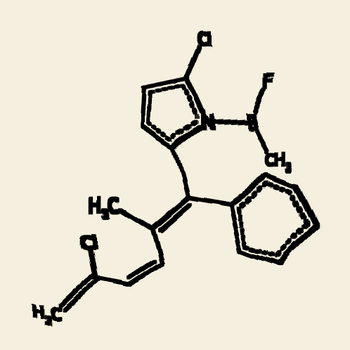 C=C(Cl)/C=C\C(C)=C(/c1ccccc1)c1ccc(Cl)n1B(C)F